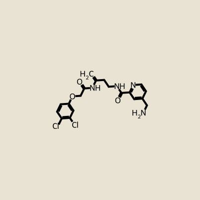 C=C(CCNC(=O)c1cc(CN)ccn1)NC(=O)COc1ccc(Cl)c(Cl)c1